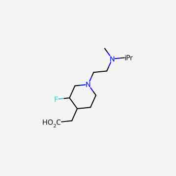 CC(C)N(C)CCN1CCC(CC(=O)O)C(F)C1